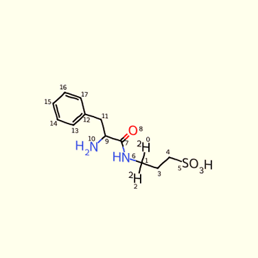 [2H]C([2H])(CCS(=O)(=O)O)NC(=O)C(N)Cc1ccccc1